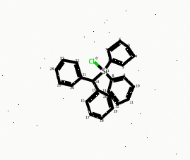 Cl[Si](c1ccccc1)(c1ccccc1)C(c1ccccc1)c1ccccc1